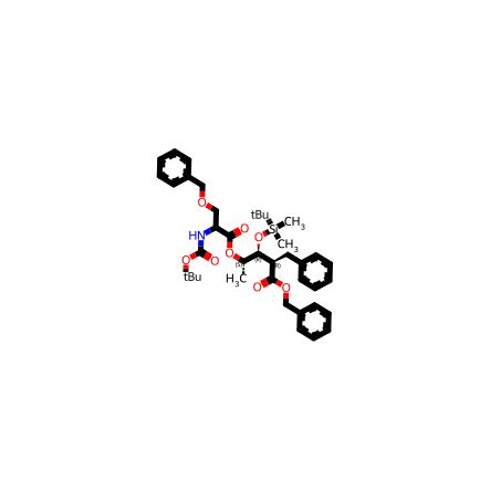 C[C@H](OC(=O)C(COCc1ccccc1)NC(=O)OC(C)(C)C)[C@H](O[Si](C)(C)C(C)(C)C)[C@@H](Cc1ccccc1)C(=O)OCc1ccccc1